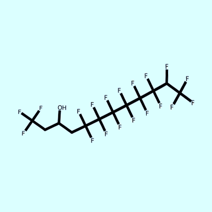 OC(CC(F)(F)F)CC(F)(F)C(F)(F)C(F)(F)C(F)(F)C(F)(F)C(F)(F)C(F)C(F)(F)F